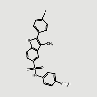 Cc1c(-c2ccc(F)cc2)[nH]c2ccc(S(=O)(=O)Nc3ccc(C(=O)O)cc3)cc12